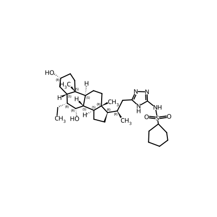 CC[C@H]1[C@@H](O)[C@@H]2[C@H](CC[C@]3(C)[C@@H]([C@H](C)Cc4nnc(NS(=O)(=O)C5CCCCC5)[nH]4)CC[C@@H]23)[C@@]2(C)CC[C@@H](O)C[C@@H]12